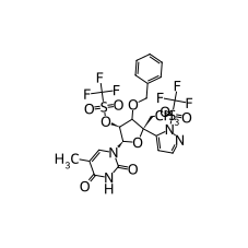 CC[C@@]1(c2ccnn2S(=O)(=O)C(F)(F)F)O[C@@H](n2cc(C)c(=O)[nH]c2=O)[C@@H](OS(=O)(=O)C(F)(F)F)C1OCc1ccccc1